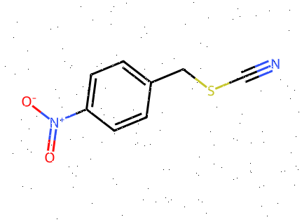 N#CSCc1ccc([N+](=O)[O-])cc1